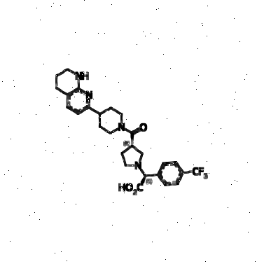 O=C(O)[C@H](c1ccc(C(F)(F)F)cc1)N1CC[C@@H](C(=O)N2CCC(c3ccc4c(n3)NCCC4)CC2)C1